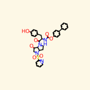 O=C(NC(Cc1ccc(O)cc1)C(=O)N1CCC2C1C(=O)CN2S(=O)(=O)c1ccccn1)Oc1ccc(-c2ccccc2)cc1